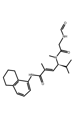 C/C(=C\[C@H](C(C)C)N(C)C(=O)CNC=O)C(=O)Nc1cccc2c1CCCC2